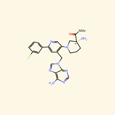 CNC(=O)[C@@]1(N)CCCN(c2cnc(-c3cccc(F)c3)cc2Cn2cnc3c(N)ncnc32)C1